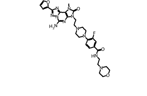 Cn1c(=O)n(CCN2CCN(c3ccc(C(=O)NCCN4CCOCC4)cc3F)CC2)c2nc(N)n3nc(-c4ccco4)nc3c21